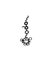 C=C(CO)C(=O)OCC(CCC1CCC(c2ccc(-c3ccc(CCCCC)cc3)c(CC)c2)CC1)COC(=O)C(=C)COC